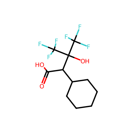 O=C(O)C(C1CCCCC1)C(O)(C(F)(F)F)C(F)(F)F